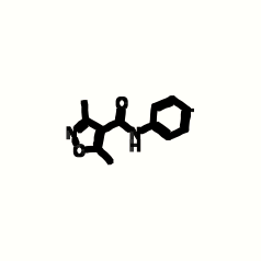 Cc1noc(C)c1C(=O)Nc1cc[c]cc1